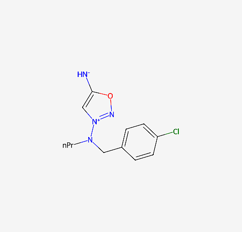 CCCN(Cc1ccc(Cl)cc1)[n+]1cc([NH-])on1